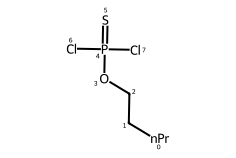 CCCCCOP(=S)(Cl)Cl